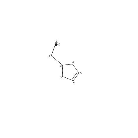 CC(C)C[C]1CC=CC1